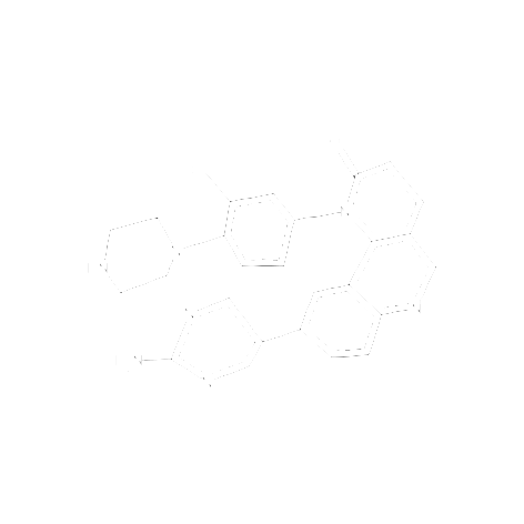 Nc1ncc(-c2ccc3ncc4ccc(=O)n(-c5ccc(N6CCNCC6)c(Cl)c5)c4c3c2)cn1